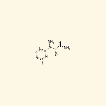 Cc1ncnc(N(N)C(=O)NN)n1